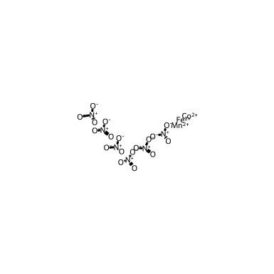 O=[N+]([O-])[O-].O=[N+]([O-])[O-].O=[N+]([O-])[O-].O=[N+]([O-])[O-].O=[N+]([O-])[O-].O=[N+]([O-])[O-].[Co+2].[Fe+2].[Mn+2]